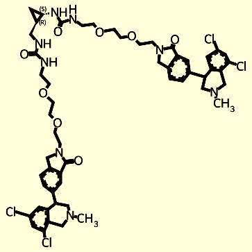 CN1Cc2c(Cl)cc(Cl)cc2C(c2ccc3c(c2)C(=O)N(CCOCCOCCNC(=O)NC[C@H]2C[C@@H]2NC(=O)NCCOCCOCCN2Cc4ccc(C5CN(C)Cc6c(Cl)cc(Cl)cc65)cc4C2=O)C3)C1